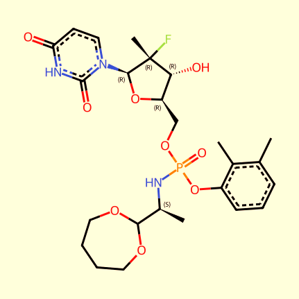 Cc1cccc(OP(=O)(N[C@@H](C)C2OCCCCO2)OC[C@H]2O[C@@H](n3ccc(=O)[nH]c3=O)[C@](C)(F)[C@@H]2O)c1C